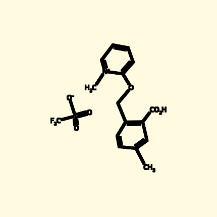 Cc1ccc(COc2cccc[n+]2C)c(C(=O)O)c1.O=S(=O)([O-])C(F)(F)F